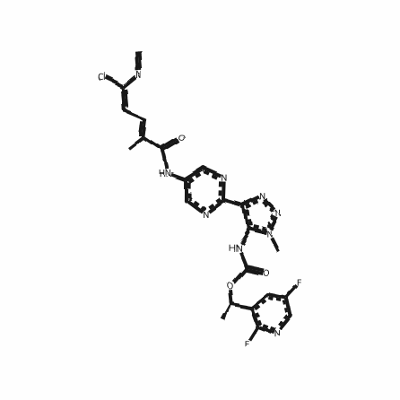 C=N/C(Cl)=C\C=C(/C)C(=O)Nc1cnc(-c2nnn(C)c2NC(=O)O[C@H](C)c2cc(F)cnc2F)nc1